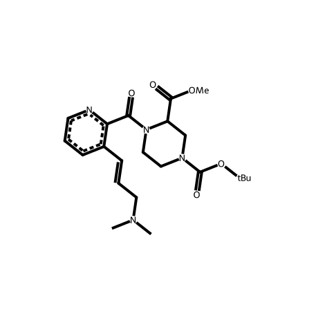 COC(=O)C1CN(C(=O)OC(C)(C)C)CCN1C(=O)c1ncccc1C=CCN(C)C